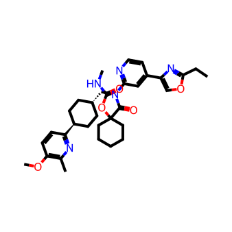 CCc1nc(-c2ccnc(N(C[C@H]3CC[C@H](c4ccc(OC)c(C)n4)CC3)C(=O)C3(OC(=O)NC)CCCCC3)c2)co1